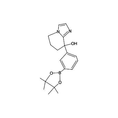 CC1(C)OB(c2cccc(C3(O)CCCn4ccnc43)c2)OC1(C)C